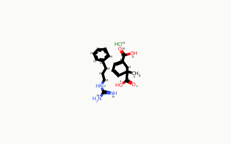 CC1(C(=O)O)C=CC=C(C(=O)O)C1.Cl.N=C(N)NCCCc1ccccc1